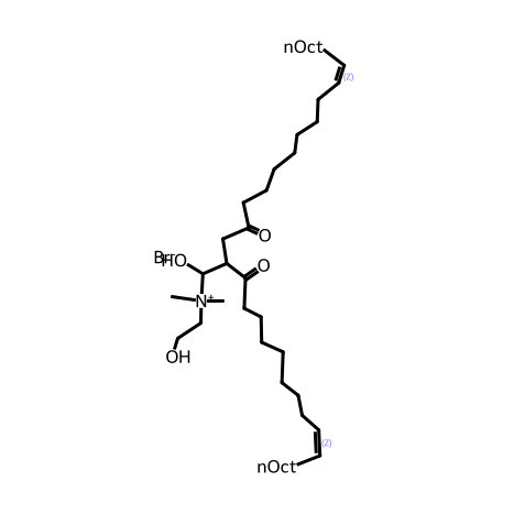 CCCCCCCC/C=C\CCCCCCCC(=O)CC(C(=O)CCCCCCC/C=C\CCCCCCCC)C(O)[N+](C)(C)CCO.[Br-]